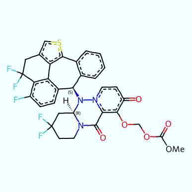 COC(=O)OCOc1c2n(ccc1=O)N([C@@H]1c3ccccc3-c3scc4c3-c3c1ccc(F)c3C(F)(F)C4)[C@@H]1CC(F)(F)CCN1C2=O